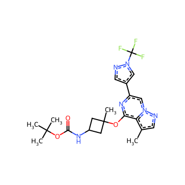 Cc1cnn2cc(-c3cnn(C(F)(F)F)c3)nc(OC3(C)CC(NC(=O)OC(C)(C)C)C3)c12